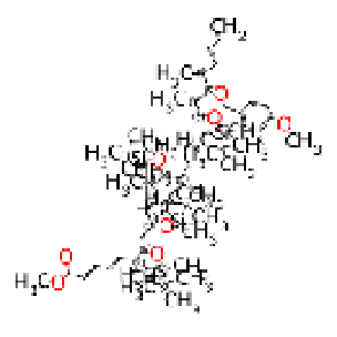 C=CC=C[C@H](C)[C@H](OCc1ccc(OC)cc1)[C@@H](C)[C@@H](CCCC[C@H](C)[C@@H](O[Si](C)(C)C(C)(C)C)[C@@H](C)C=C[C@H](C[C@H](O[Si](C)(C)C(C)(C)C)[C@H](C)C=CC=CC(=O)OC)O[Si](C)(C)C(C)(C)C)O[Si](C)(C)C(C)(C)C